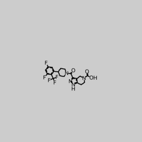 O=C(O)N1CCc2[nH]nc(C(=O)N3CCC(c4cc(F)cc(F)c4C(F)(F)F)CC3)c2C1